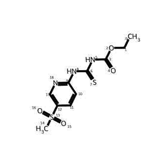 CCOC(=O)NC(=S)Nc1ccc(S(C)(=O)=O)cn1